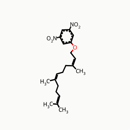 CC(C)=CCCC(C)=CCCC(C)=CCOc1cc([N+](=O)[O-])cc([N+](=O)[O-])c1